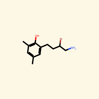 Cc1cc(C)c(O)c(CCC(Br)CN)c1